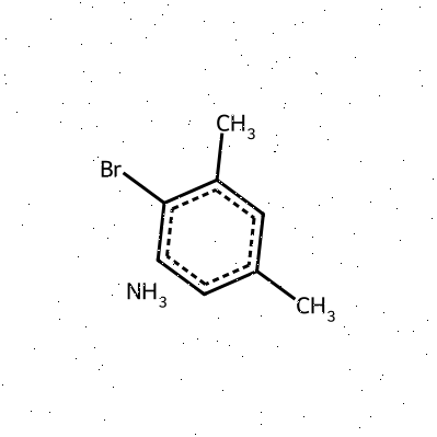 Cc1ccc(Br)c(C)c1.N